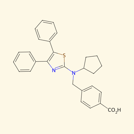 O=C(O)c1ccc(CN(c2nc(-c3ccccc3)c(-c3ccccc3)s2)C2CCCC2)cc1